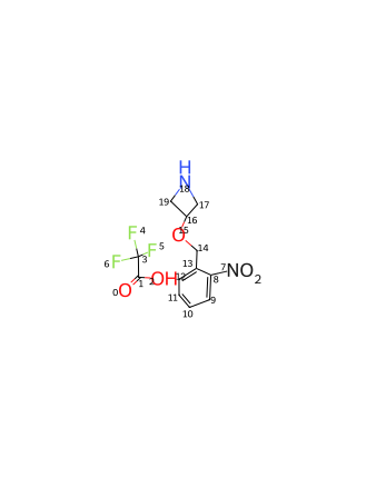 O=C(O)C(F)(F)F.O=[N+]([O-])c1ccccc1COC1CNC1